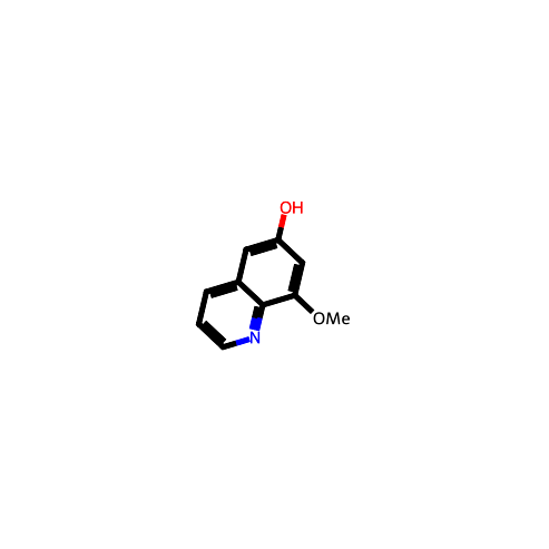 COc1cc(O)cc2cccnc12